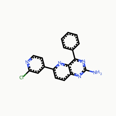 Nc1nc(-c2ccccc2)c2nc(-c3ccnc(Cl)c3)ccc2n1